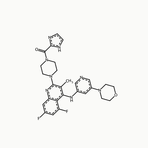 Cc1c(N2CCN(C(=O)c3ncc[nH]3)CC2)nc2cc(F)cc(F)c2c1Nc1cncc(N2CCOCC2)c1